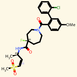 COc1ccc(C(=O)N2CCC[C@](F)(C(=O)N[C@H](C)/C=C\S(C)(=O)=O)CC2)c(-c2ccccc2Cl)c1